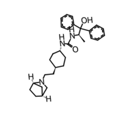 C[C@@H](NC(=O)N[C@H]1CC[C@H](CCN2C[C@H]3CC[C@@H]2C3)CC1)C(O)(c1ccccc1)c1ccccc1